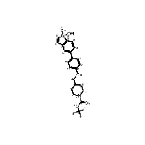 CC(C)(C)OC(=O)N1CCC(COc2ccc(-c3ccc4c(c3)C=CS4(O)O)cc2)CC1